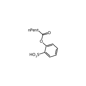 CCCCCC(=O)Oc1ccccc1S(=O)(=O)O